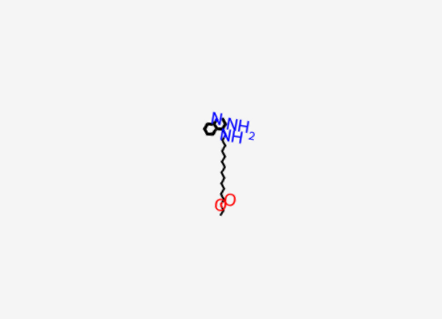 CCOC(=O)CCCCCCCCCCCNc1c(N)cnc2ccccc12